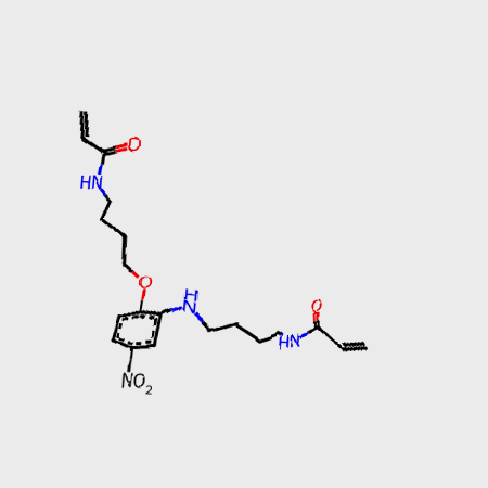 C=CC(=O)NCCCCNc1cc([N+](=O)[O-])ccc1OCCCCNC(=O)C=C